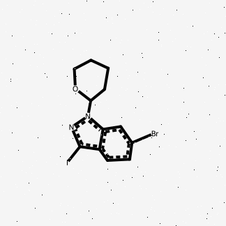 Brc1ccc2c(I)nn(C3CCCCO3)c2c1